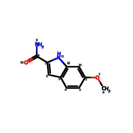 COc1ccc2cc(C(N)=O)[nH]c2c1